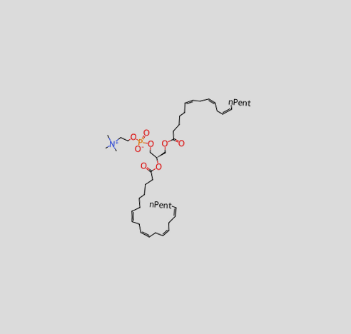 CCCCC/C=C\C/C=C\C/C=C\C/C=C\CCCCCC(=O)O[C@H](COC(=O)CCCC/C=C\C/C=C\C/C=C\CCCCC)COP(=O)([O-])OCC[N+](C)(C)C